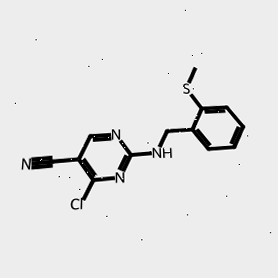 CSc1ccccc1CNc1ncc(C#N)c(Cl)n1